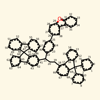 c1ccc(C2(c3ccccc3)c3ccccc3-c3c(CCC(c4ccc(-c5ccc6oc7ccccc7c6c5)cc4)c4ccc5c(c4)C4(c6ccccc6-c6ccccc64)c4ccccc4-5)cccc32)cc1